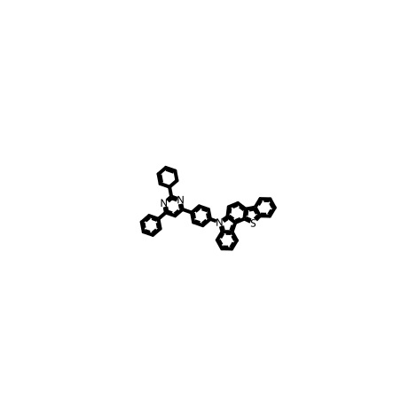 C1=CCC(c2nc(-c3ccccc3)cc(-c3ccc(-n4c5ccccc5c5c6sc7ccccc7c6ccc54)cc3)n2)C=C1